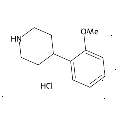 COc1ccccc1C1CCNCC1.Cl